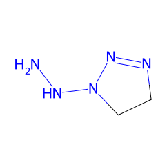 NNN1CCN=N1